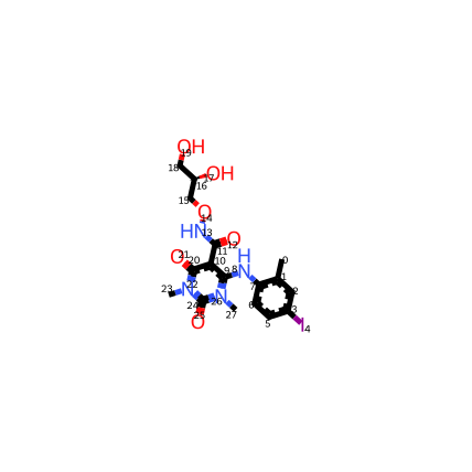 Cc1cc(I)ccc1Nc1c(C(=O)NOC[C@H](O)CO)c(=O)n(C)c(=O)n1C